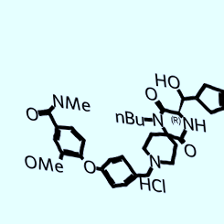 CCCCN1C(=O)[C@@H](C(O)C2CC=CC2)NC(=O)C12CCN(Cc1ccc(Oc3ccc(C(=O)NC)cc3OC)cc1)CC2.Cl